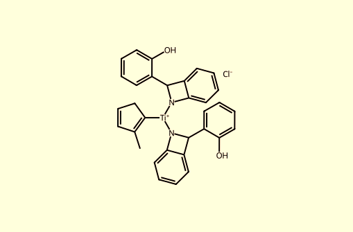 CC1=[C]([Ti+]([N]2c3ccccc3C2c2ccccc2O)[N]2c3ccccc3C2c2ccccc2O)CC=C1.[Cl-]